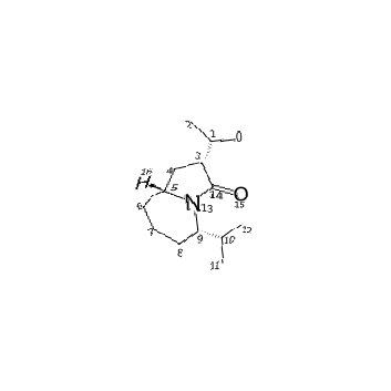 CC(C)[C@H]1C[C@H]2CCC[C@@H](C(C)C)N2C1=O